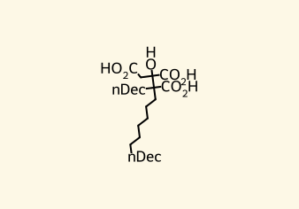 CCCCCCCCCCCCCCCCC(CCCCCCCCCC)(C(=O)O)C(O)(CC(=O)O)C(=O)O